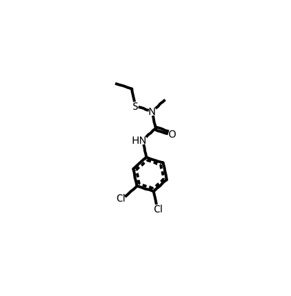 CCSN(C)C(=O)Nc1ccc(Cl)c(Cl)c1